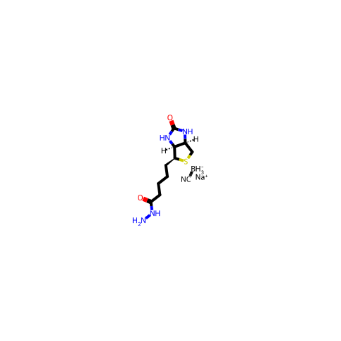 NNC(=O)CCCC[C@@H]1SC[C@@H]2NC(=O)N[C@@H]21.[BH3-]C#N.[Na+]